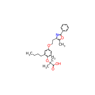 CCCCc1cc(OCCc2nc(-c3ccccc3)oc2C)ccc1OC(C)(C)C(=O)O